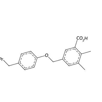 Cc1cc(COc2ccc(CC(C)C)cc2)cc(C(=O)O)c1C